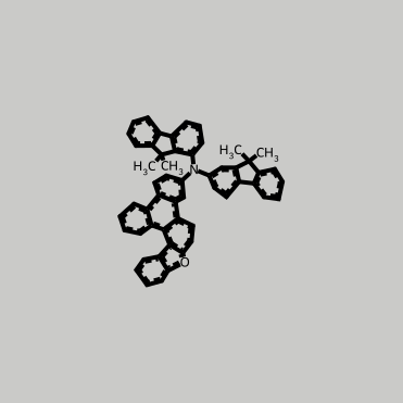 CC1(C)c2ccccc2-c2ccc(N(c3ccc4c5ccccc5c5c(ccc6oc7ccccc7c65)c4c3)c3cccc4c3C(C)(C)c3ccccc3-4)cc21